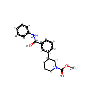 CC(C)(C)OC(=O)N1CCCC(c2cccc(C(=O)Nc3ccccc3)c2)C1